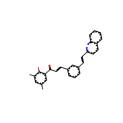 CC(C)(C)c1cc(C(=O)O)c(O)c(C(=O)/C=C/c2cccc(/C=C/c3ccc4ccccc4n3)c2)c1